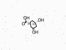 O=C(O)[C@@H]1C[C@H](O)C[C@H](O)C1